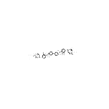 CN1C(C)(C)CC(Oc2ccc(-c3nc4cc(-c5ccc6[nH]c(-c7ccc(OC8CC(C)(C)N(C)C(C)(C)C8)cc7)nc6c5)ccc4[nH]3)cc2)CC1(C)C